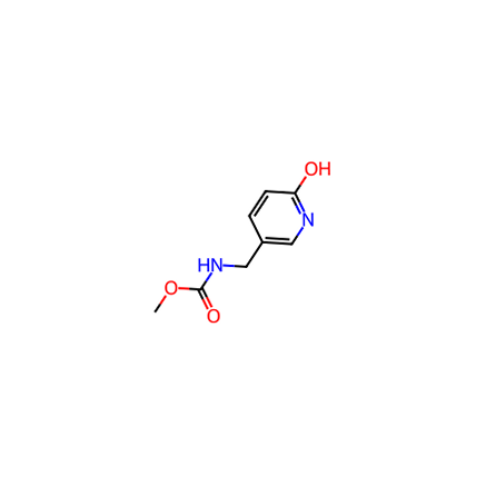 COC(=O)NCc1ccc(O)nc1